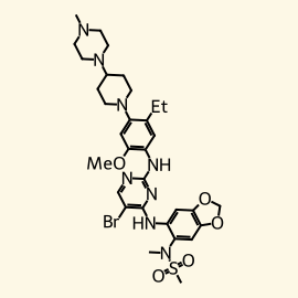 CCc1cc(Nc2ncc(Br)c(Nc3cc4c(cc3N(C)S(C)(=O)=O)OCO4)n2)c(OC)cc1N1CCC(N2CCN(C)CC2)CC1